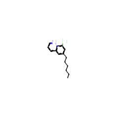 CCCCCCc1cc(Br)c2ncccc2c1